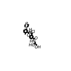 Cc1ccc(N2CCN(C)CC2)cc1C(=O)N[C@H](C)c1cccc(C(=O)NC[C@@H](O)CO)c1.Cl